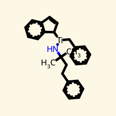 CC(C)(CCc1ccccc1)[NH][Ti]([CH2]c1ccccc1)[CH]1C=Cc2ccccc21